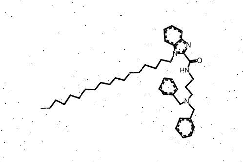 CCCCCCCCCCCCCCCCCCn1c(C(=O)NCCCN(Cc2ccccc2)Cc2ccccc2)nc2ccccc21